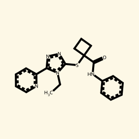 CCn1c(SC2(C(=O)Nc3ccccc3)CCC2)nnc1-c1ccccn1